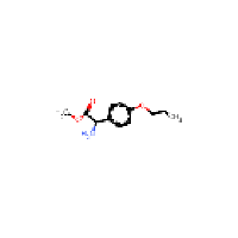 CCCOc1ccc(C(N)C(=O)OC)cc1